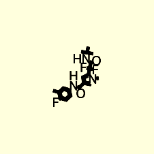 Cc1cc(NC(=O)c2cc(C(F)(F)C(=O)NC(C)(C)C)n(C)c2)ccc1F